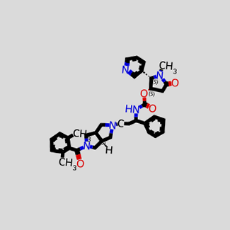 Cc1cccc(C)c1C(=O)N1CC2CN(CCC(NC(=O)O[C@H]3CC(=O)N(C)[C@H]3c3cccnc3)c3ccccc3)C[C@H]2C1